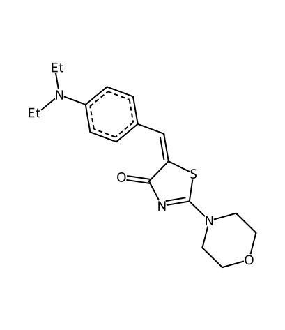 CCN(CC)c1ccc(C=C2SC(N3CCOCC3)=NC2=O)cc1